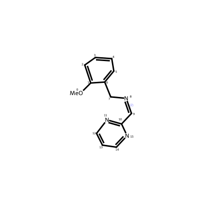 COc1ccccc1C/N=C\c1ncccn1